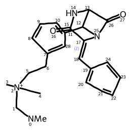 CNC[N+](C)(C)CCc1cccc(C2C3NC(=O)/C(=C/c4ccccc4)N2C3=O)c1